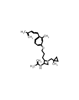 C=C(C)C=C=CC1=C=CC=C(OCCCC2C(NC(=C)C)CN2CC2(C)CC2)C=C1C